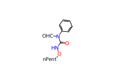 CCCCCONC(=O)N(C=O)c1ccccc1